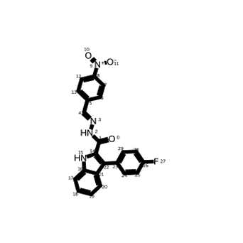 O=C(NN=Cc1ccc([N+](=O)[O-])cc1)c1[nH]c2ccccc2c1-c1ccc(F)cc1